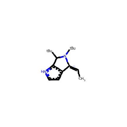 C/C=C1\c2cc[nH]c2C(C(C)(C)C)N1C(C)(C)C